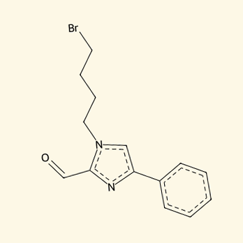 O=Cc1nc(-c2ccccc2)cn1CCCCBr